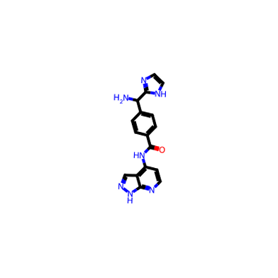 NC(c1ccc(C(=O)Nc2ccnc3[nH]ncc23)cc1)c1ncc[nH]1